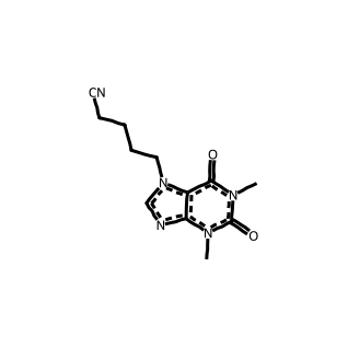 Cn1c(=O)c2c(ncn2CCCCC#N)n(C)c1=O